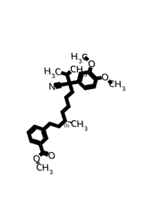 COC(=O)c1cccc(CC[C@@H](C)CCCCC(C#N)(c2ccc(OC)c(OC)c2)C(C)C)c1